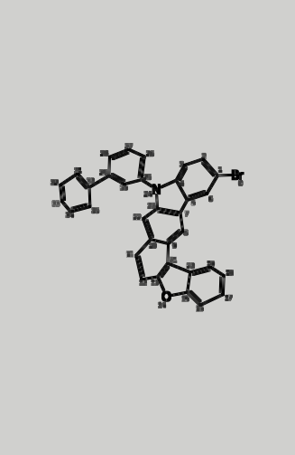 Brc1ccc2c(c1)c1cc3c(ccc4oc5ccccc5c43)cc1n2-c1cccc(-c2ccccc2)c1